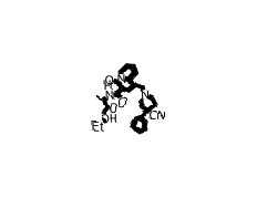 CCOC[C@@H](O)[C@@H](C)NC(=O)c1cc(CN2CCC(C#N)(c3ccccc3)CC2)c2ccccn2c1=O